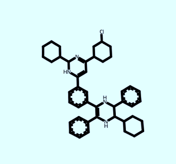 ClC1CCCC(C2=NC(C3CCCCC3)NC(c3cccc(C4=C(c5ccccc5)NC(C5CCCCC5)C(c5ccccc5)N4)c3)=C2)C1